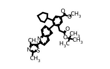 COC(=O)c1cc(CC(=O)OC(C)(C)C)c(-c2ccc3nc(-c4sc(C)nc4C)ccc3c2)c(C2CCCCC2)c1